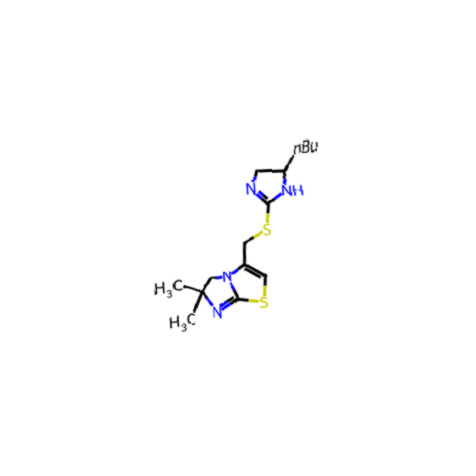 CCCCC1CN=C(SCC2=CSC3=NC(C)(C)CN23)N1